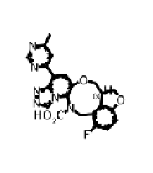 Cc1cc(-c2cc3c(n4cnnc24)N(C(=O)O)Cc2c(F)ccc4c2[C@@H](CO4)CO3)ncn1